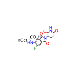 CCCCCCCCC(Nc1cc2c(cc1F)C(=O)N(C1CCC(=O)NC1=O)C2=O)C(=O)O